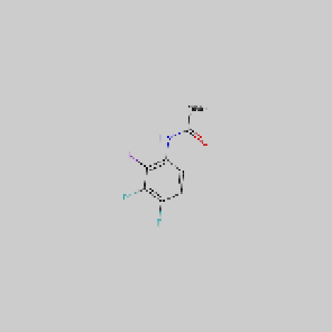 COC(=O)Nc1ccc(F)c(F)c1I